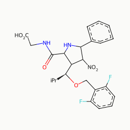 CC(C)[C@H](OCc1c(F)cccc1F)C1C(C(=O)NCC(=O)O)NC(c2ccccc2)C1[N+](=O)[O-]